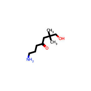 CC(C)(CO)CC(=O)CCCN